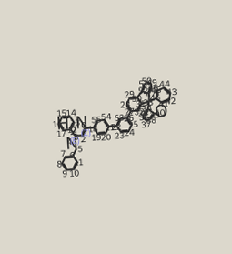 N/C(=C\C(=N/Cc1ccccc1)c1ccccc1)c1ccc(-c2cccc(-c3ccc4c(c3)C3(c5ccccc5Oc5ccccc53)c3ccccc3-4)c2)cc1